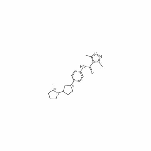 Cc1noc(C)c1C(=O)Nc1ccc([C@H]2CCC(N3CCC[C@@H]3C)C2)cc1